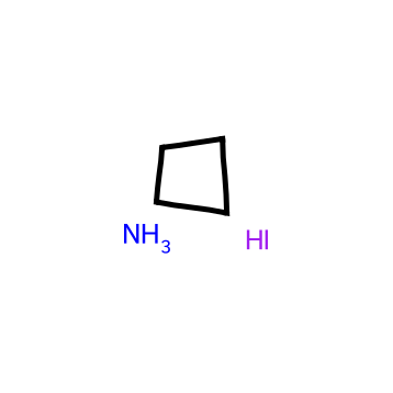 C1CCC1.I.N